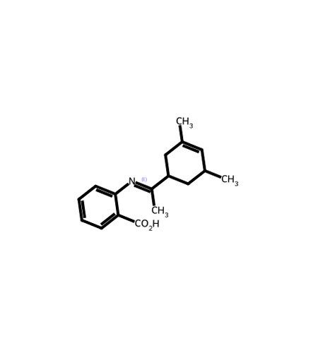 CC1=CC(C)CC(/C(C)=N/c2ccccc2C(=O)O)C1